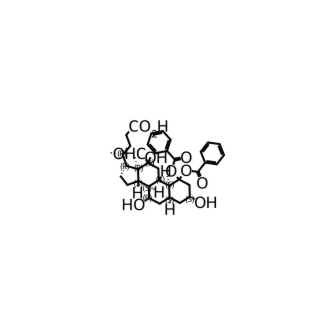 C[C@H](CCC(=O)O)[C@H]1CC[C@H]2[C@@H]3[C@H](O)C[C@@H]4C[C@H](O)CC(OC(=O)c5ccccc5)(OC(=O)c5ccccc5)[C@]4(C)[C@H]3C[C@@](O)(C=O)[C@]12C